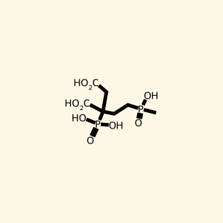 CP(=O)(O)CCC(CC(=O)O)(C(=O)O)P(=O)(O)O